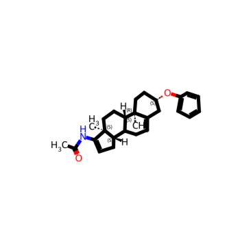 CC(=O)NC1=CC[C@H]2C3CC=C4C[C@@H](Oc5ccccc5)CC[C@]4(C)[C@H]3CC[C@]12C